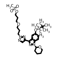 CC(C)(C)[Si](C)(C)Oc1ccc2c(c1)c(-c1cnn(CCCOCCCOS(C)(=O)=O)n1)nn2C1CCCCO1